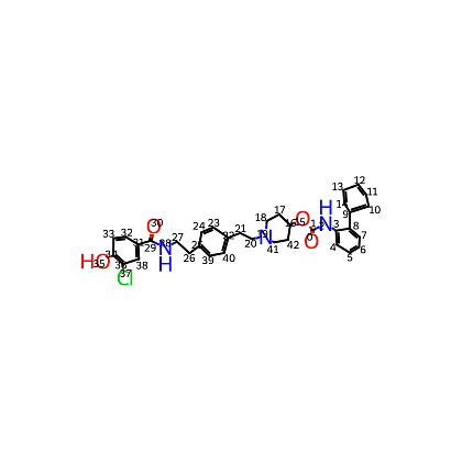 O=C(Nc1ccccc1-c1ccccc1)OC1CCN(CCc2ccc(CCNC(=O)c3ccc(O)c(Cl)c3)cc2)CC1